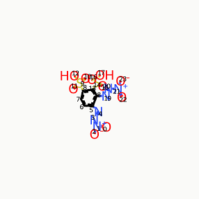 O=[N+]([O-])N=Nc1ccc(S(=O)(=O)O)c(S(=O)(=O)O)c1N=N[N+](=O)[O-]